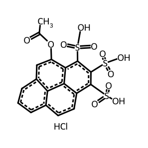 CC(=O)Oc1cc2cccc3ccc4c(S(=O)(=O)O)c(S(=O)(=O)O)c(S(=O)(=O)O)c1c4c32.Cl